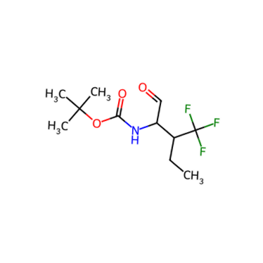 CCC(C(C=O)NC(=O)OC(C)(C)C)C(F)(F)F